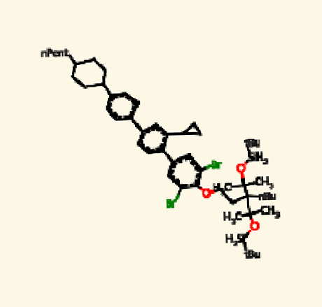 CCCCCC1CCC(c2ccc(-c3ccc(-c4cc(Br)c(OCCC(CCCC)(C(C)(C)O[SiH2]C(C)(C)C)C(C)(C)O[SiH2]C(C)(C)C)c(Br)c4)c(C4CC4)c3)cc2)CC1